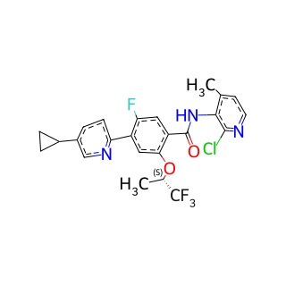 Cc1ccnc(Cl)c1NC(=O)c1cc(F)c(-c2ccc(C3CC3)cn2)cc1O[C@@H](C)C(F)(F)F